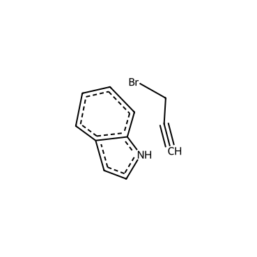 C#CCBr.c1ccc2[nH]ccc2c1